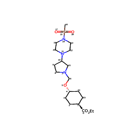 CCOC(=O)[C@H]1CC[C@H](OCN2CCC(N3CCN(S(C)(=O)=O)CC3)C2)CC1